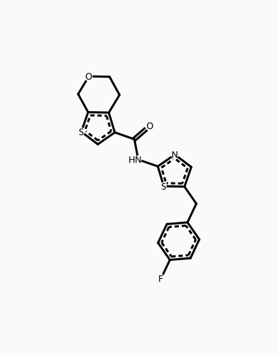 O=C(Nc1ncc(Cc2ccc(F)cc2)s1)c1csc2c1CCOC2